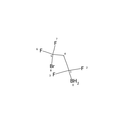 BC(F)(F)CC(F)(F)Br